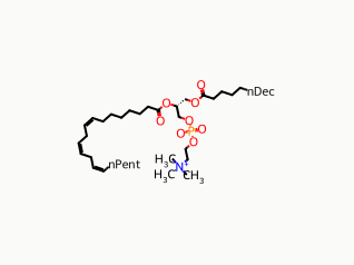 CCCCC/C=C\C/C=C\C/C=C\CCCCCCC(=O)O[C@H](COC(=O)CCCCCCCCCCCCCC)COP(=O)([O-])OCC[N+](C)(C)C